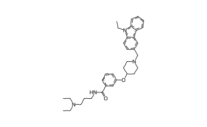 CCN(CC)CCCNC(=O)c1cccc(OC2CCN(Cc3ccc4c(c3)c3ccccc3n4CC)CC2)c1